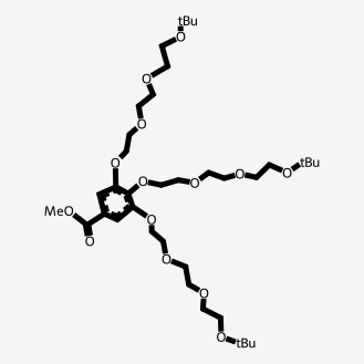 COC(=O)c1cc(OCCOCCOCCOC(C)(C)C)c(OCCOCCOCCOC(C)(C)C)c(OCCOCCOCCOC(C)(C)C)c1